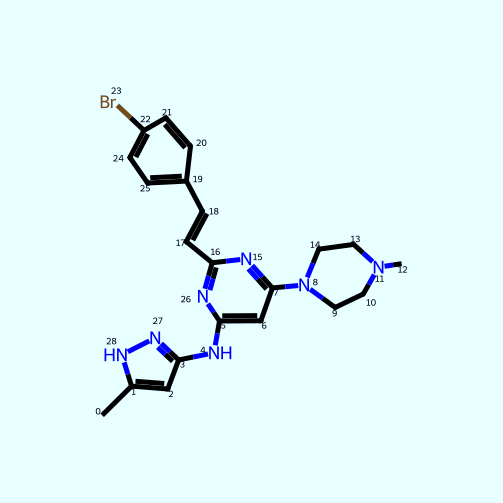 Cc1cc(Nc2cc(N3CCN(C)CC3)nc(C=Cc3ccc(Br)cc3)n2)n[nH]1